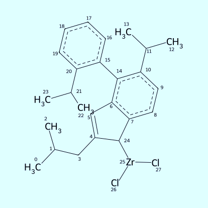 CC(C)CC1=Cc2c(ccc(C(C)C)c2-c2ccccc2C(C)C)[CH]1[Zr]([Cl])[Cl]